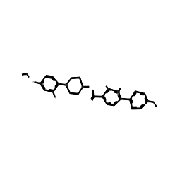 CCOc1ccc(C2CCC(OC(=O)c3ccc(-c4ccc(CO)cc4)c(F)c3F)CC2)c(F)c1